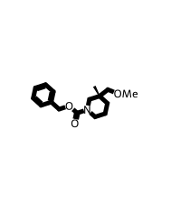 COC[C@]1(C)CCCN(C(=O)OCc2ccccc2)C1